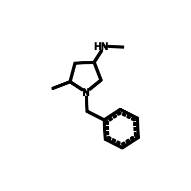 CNC1CC(C)N(Cc2ccccc2)C1